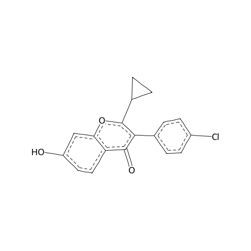 O=c1c(-c2ccc(Cl)cc2)c(C2CC2)oc2cc(O)ccc12